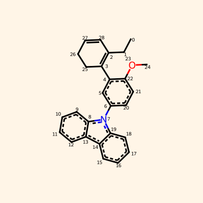 CCC1=C(c2cc(-n3c4ccccc4c4ccccc43)ccc2OC)CCC=C1